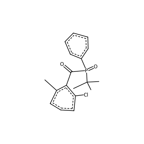 Cc1cccc(Cl)c1C(=O)P(=O)(c1ccccc1)C(C)(C)C